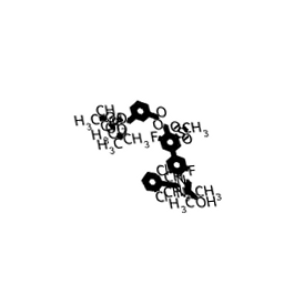 CC(C)(C)OP(=O)(OCc1cccc(C(=O)OCc2c(F)cc(-c3ccc(-n4cc(C(C)(C)O)nc4C(C)(C)c4c(Cl)cccc4Cl)c(F)c3)cc2S(C)(=O)=O)c1)OC(C)(C)C